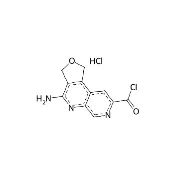 Cl.Nc1nc2cnc(C(=O)Cl)cc2c2c1COC2